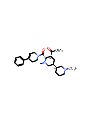 COC(=O)[C@H]1CC([C@@H]2CCCN(C(=O)O)C2)CN(C)[C@@H]1C(=O)N1CC=C(c2ccccc2)CC1